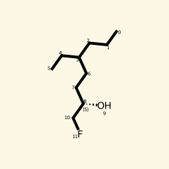 CCCC(CC)CC[C@H](O)CF